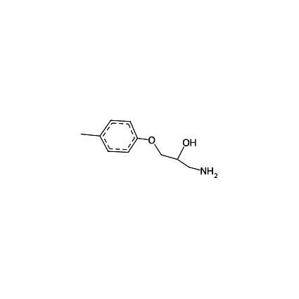 Cc1ccc(OCC(O)CN)cc1